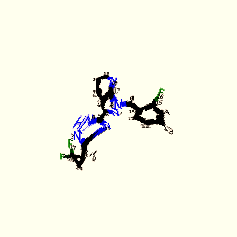 C[C@]1(c2n[nH]c(-c3nn(Cc4ccccc4F)c4ncccc34)n2)CC1(F)F